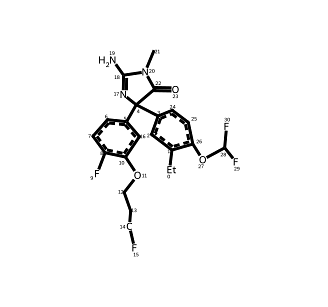 CCc1cc(C2(c3ccc(F)c(OCCCF)c3)N=C(N)N(C)C2=O)ccc1OC(F)F